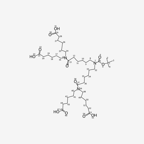 CC(C)(C)OC(=O)N(CCCCCC(=O)N(CCCCCC(=O)O)CCCCCC(=O)O)CCCCCC(=O)N(CCCCCC(=O)O)CCCCCC(=O)O